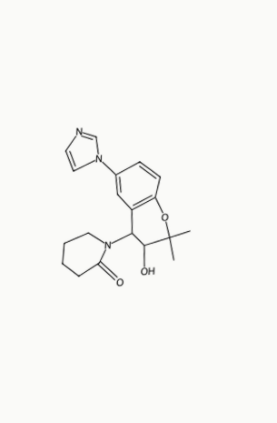 CC1(C)Oc2ccc(-n3ccnc3)cc2C(N2CCCCC2=O)C1O